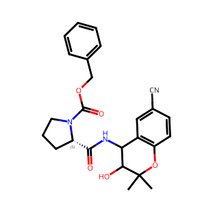 CC1(C)Oc2ccc(C#N)cc2C(NC(=O)[C@@H]2CCCN2C(=O)OCc2ccccc2)C1O